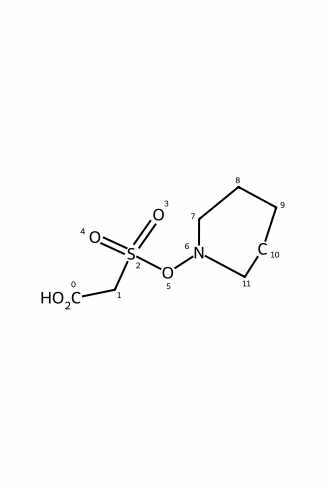 O=C(O)CS(=O)(=O)ON1CCCCC1